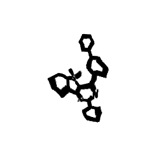 C[Si]1(C)c2ccccc2-c2nc(-c3ccccc3)nc(-c3cccc(-c4ccccc4)c3)c21